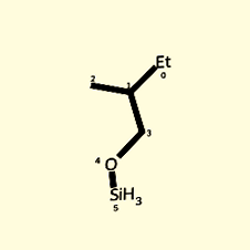 CCC(C)CO[SiH3]